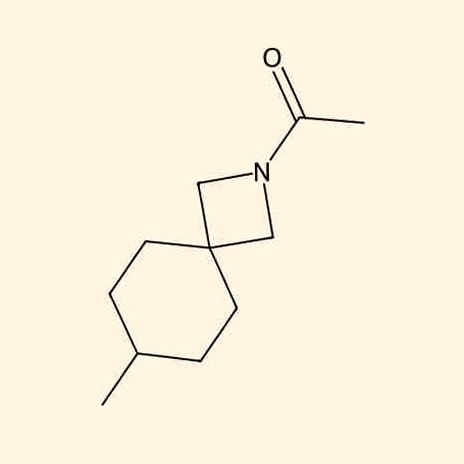 CC(=O)N1CC2(CCC(C)CC2)C1